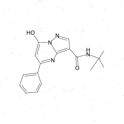 CC(C)(C)NC(=O)c1cnn2c(O)cc(-c3ccccc3)nc12